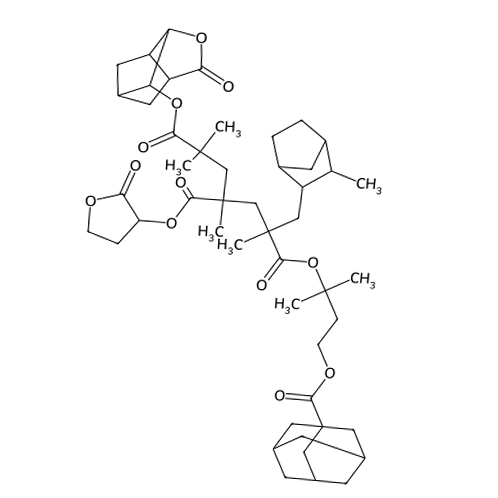 CC1C2CCC(C2)C1CC(C)(CC(C)(CC(C)(C)C(=O)OC1C2CC3C(=O)OC1C3C2)C(=O)OC1CCOC1=O)C(=O)OC(C)(C)CCOC(=O)C12CC3CC(CC(C3)C1)C2